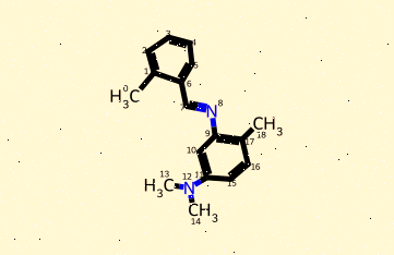 Cc1ccccc1/C=N/c1cc(N(C)C)ccc1C